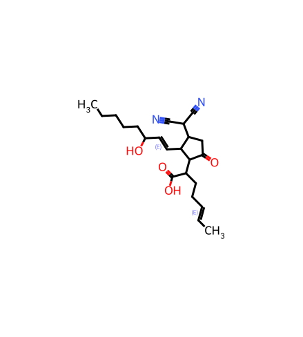 C/C=C/CCC(C(=O)O)C1C(=O)CC(C(C#N)C#N)C1/C=C/C(O)CCCCC